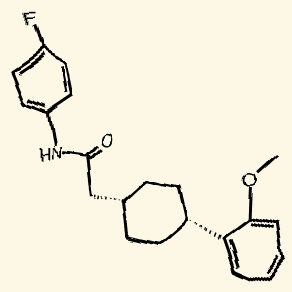 COc1ccccc1[C@H]1CC[C@@H](CC(=O)Nc2ccc(F)cc2)CC1